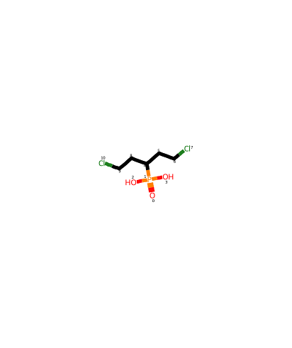 O=P(O)(O)C(CCCl)CCCl